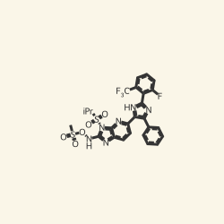 CC(C)S(=O)(=O)n1c(NOS(C)(=O)=O)nc2ccc(-c3[nH]c(-c4c(F)cccc4C(F)(F)F)nc3-c3ccccc3)nc21